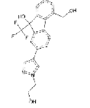 OCCn1cc(-c2ccc3c(c2)C(O)(C(F)(F)F)c2cccc(CO)c2-3)cn1